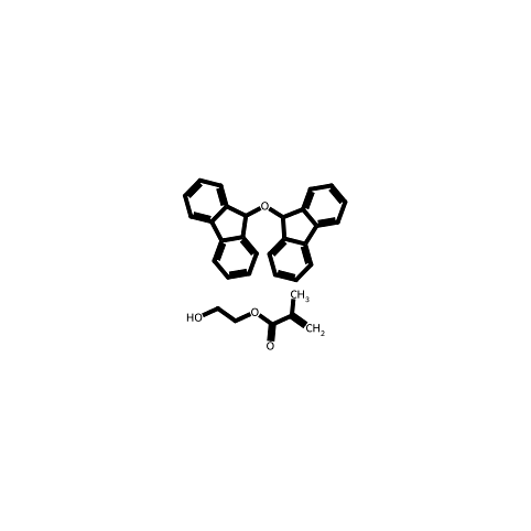 C=C(C)C(=O)OCCO.c1ccc2c(c1)-c1ccccc1C2OC1c2ccccc2-c2ccccc21